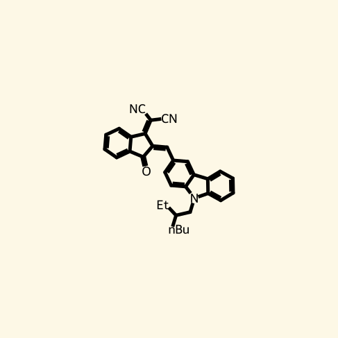 CCCCC(CC)Cn1c2ccccc2c2cc(/C=C3\C(=O)c4ccccc4C3=C(C#N)C#N)ccc21